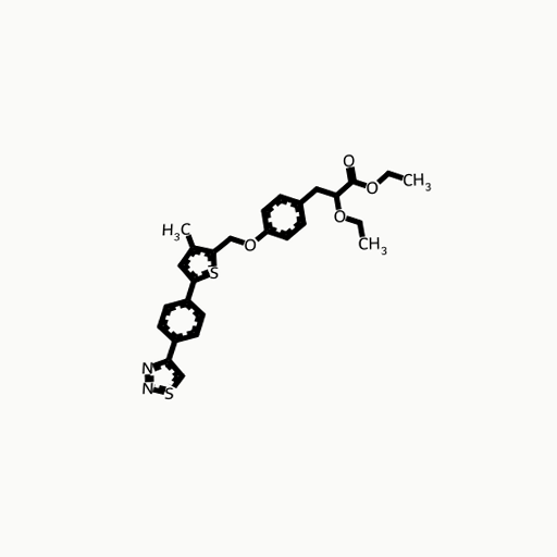 CCOC(=O)C(Cc1ccc(OCc2sc(-c3ccc(-c4csnn4)cc3)cc2C)cc1)OCC